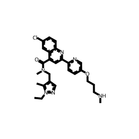 CCn1ncc(CN(C)C(=O)c2cc(-c3ccc(OCCCNC)cn3)nc3ccc(Cl)cc23)c1C